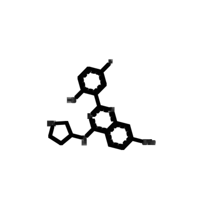 COc1ccc2c(NC3CCNC3)nc(-c3cc(F)ccc3O)nc2c1